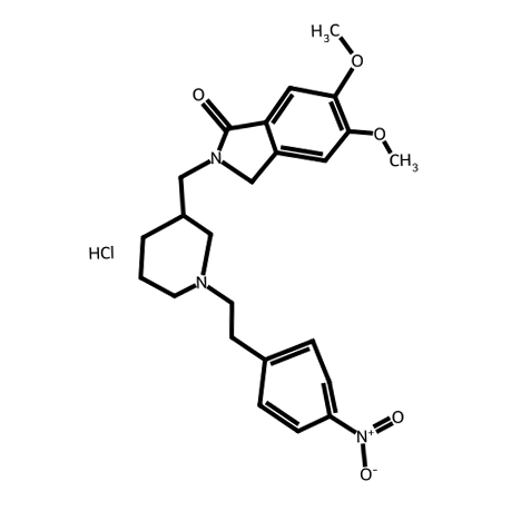 COc1cc2c(cc1OC)C(=O)N(CC1CCCN(CCc3ccc([N+](=O)[O-])cc3)C1)C2.Cl